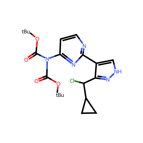 CC(C)(C)OC(=O)N(C(=O)OC(C)(C)C)c1ccnc(-c2c[nH]nc2C(Cl)C2CC2)n1